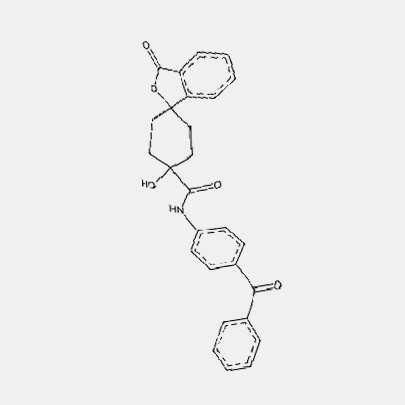 O=C(c1ccccc1)c1ccc(NC(=O)C2(O)CCC3(CC2)OC(=O)c2ccccc23)cc1